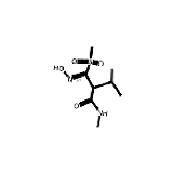 CNC(=O)C(/C(=N/O)S(C)(=O)=O)C(C)C